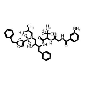 CC(C)CN(CC(O)C(Cc1ccccc1)NC(=O)C(NC(=O)CNC(=O)c1cccc(N)c1)C(C)(C)C)S(=O)(=O)C1=COC(Cc2ccccc2)O1